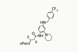 CCCCC[C@@H](F)[C@@H](F)C(=O)Nc1ccc(NCc2ccc(C(F)(F)F)cc2)cc1N1CCCCC1